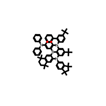 CC(C)(C)c1ccc(N2c3ccc(N(c4ccccc4)c4ccccc4)cc3B3c4cc5c(cc4N(c4ccc6c(c4)C(C)(C)CC6(C)C)c4cc(C(C)(C)C)cc2c43)C(C)(C)CCC5(C)C)c(-c2ccccc2)c1